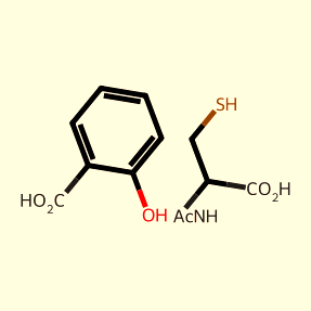 CC(=O)NC(CS)C(=O)O.O=C(O)c1ccccc1O